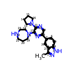 Cc1n[nH]c2ccc(-c3cnc(N4CCCC4)c(N4CCCNCC4)n3)cc12